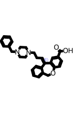 O=C(O)c1ccc2c(c1)/C(=C/CCN1CCN(Cc3ccccc3)CC1)c1ccccc1CO2